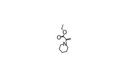 C=C(C(=O)OCC)N1CCCCC1